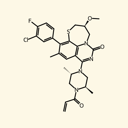 C=CC(=O)N1C[C@H](C)N(c2nc(=O)n3c4c(c(-c5ccc(F)c(Cl)c5)c(C)cc24)SC[C@@H](OC)C3)C[C@H]1C